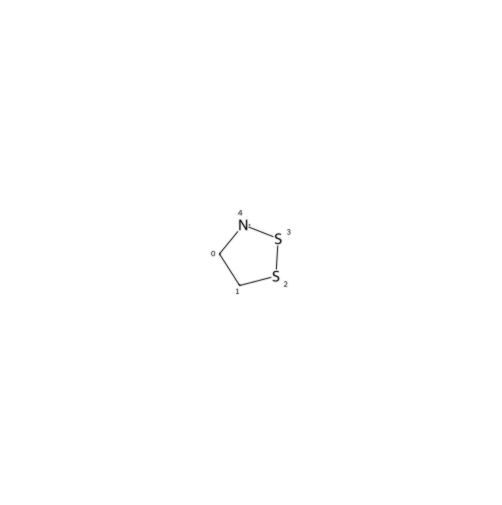 C1CSS[N]1